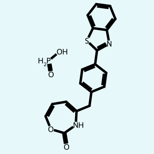 O=C1NC(Cc2ccc(-c3nc4ccccc4s3)cc2)=CC=CO1.O=[PH2]O